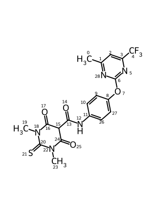 Cc1cc(C(F)(F)F)nc(Oc2ccc(NC(=O)C3C(=O)N(C)C(=S)N(C)C3=O)cc2)n1